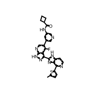 Cc1ccc(-c2nccc3[nH]c(-c4n[nH]c5ncc(-c6cncc(NC(=O)C7CCC7)c6)c(F)c45)nc23)s1